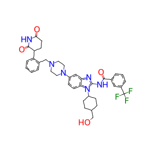 O=C1CCC(c2ccccc2CN2CCN(c3ccc4c(c3)nc(NC(=O)c3cccc(C(F)(F)F)c3)n4C3CCC(CO)CC3)CC2)C(=O)N1